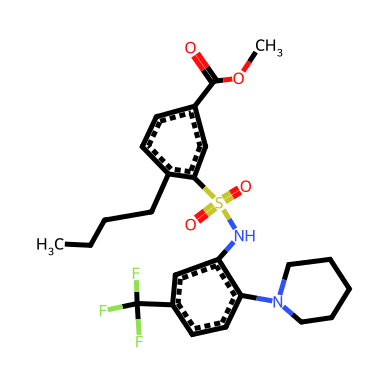 CCCCc1ccc(C(=O)OC)cc1S(=O)(=O)Nc1cc(C(F)(F)F)ccc1N1CCCCC1